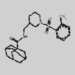 Cc1ccccc1S(=O)(=O)N1CCCC(CNC(=O)C23CC4CC(CC(C4)C2)C3)C1